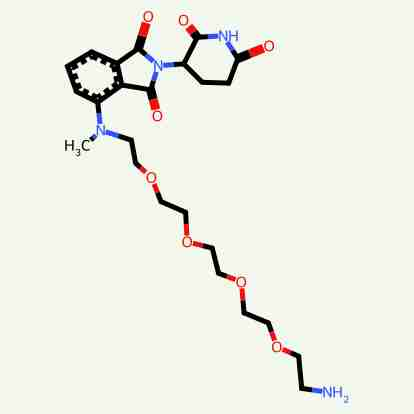 CN(CCOCCOCCOCCOCCN)c1cccc2c1C(=O)N(C1CCC(=O)NC1=O)C2=O